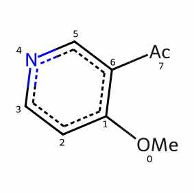 COc1ccncc1C(C)=O